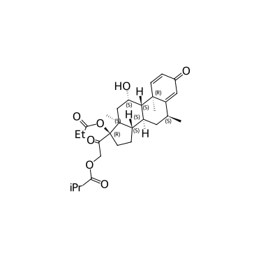 CCC(=O)O[C@]1(C(=O)COC(=O)C(C)C)CC[C@H]2[C@@H]3C[C@H](C)C4=CC(=O)C=C[C@]4(C)[C@H]3[C@@H](O)C[C@@]21C